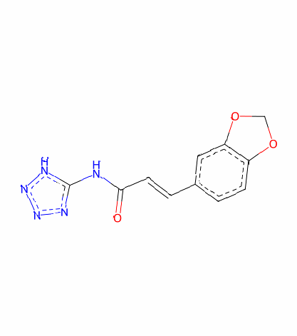 O=C(C=Cc1ccc2c(c1)OCO2)Nc1nnn[nH]1